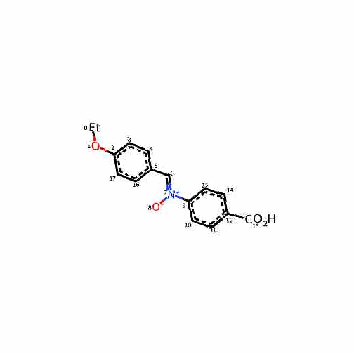 CCOc1ccc(C=[N+]([O-])c2ccc(C(=O)O)cc2)cc1